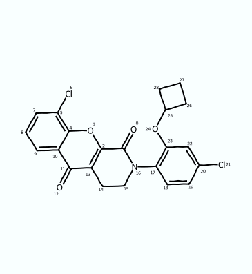 O=C1c2oc3c(Cl)cccc3c(=O)c2CCN1c1ccc(Cl)cc1OC1CCC1